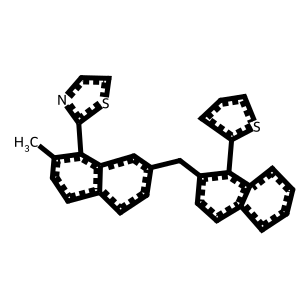 Cc1ccc2ccc(Cc3ccc4ccccc4c3-c3cccs3)cc2c1-c1nccs1